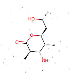 C[C@@H]1[C@H](O)[C@@H](C)C(=O)O[C@H]1C[C@@H](C)O